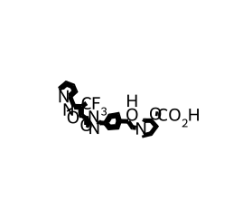 O=C(O)O[C@H]1CCCN(CC(O)c2ccc(-c3noc(-c4onc(-c5ccccn5)c4C(F)(F)F)n3)cc2)C1